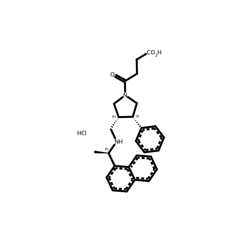 C[C@@H](NC[C@@H]1CN(C(=O)CCC(=O)O)C[C@@H]1c1ccccc1)c1cccc2ccccc12.Cl